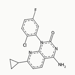 Nc1nc(=O)n(-c2cc(F)ccc2Cl)c2nc(C3CC3)ccc12